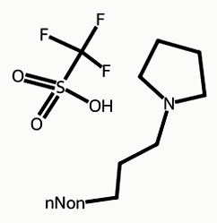 CCCCCCCCCCCCN1CCCC1.O=S(=O)(O)C(F)(F)F